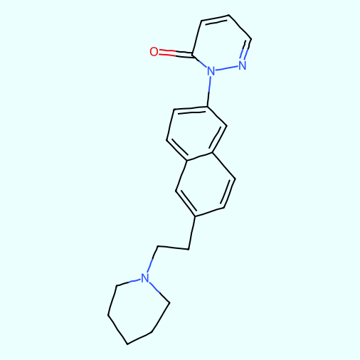 O=c1cccnn1-c1ccc2cc(CCN3CCCCC3)ccc2c1